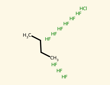 CCCC.Cl.F.F.F.F.F.F.F.F.F